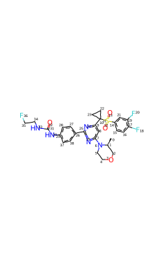 C[C@H]1COCCN1c1cc(C2(S(=O)(=O)c3ccc(F)c(F)c3)CC2)nc(-c2ccc(NC(=O)NCCF)cc2)n1